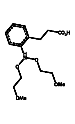 COCCO[SiH](OCCOC)c1ccccc1CCC(=O)O